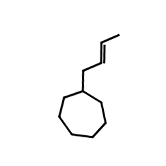 CC=CCC1CCCCCC1